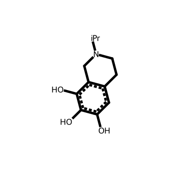 CC(C)N1CCc2cc(O)c(O)c(O)c2C1